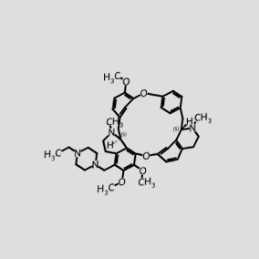 CCN1CCN(Cc2c3c4c(c(OC)c2OC)Oc2ccc5c(c2)[C@H](Cc2ccc(cc2)Oc2cc(ccc2OC)C[C@@H]4N(C)CC3)N(C)CC5)CC1